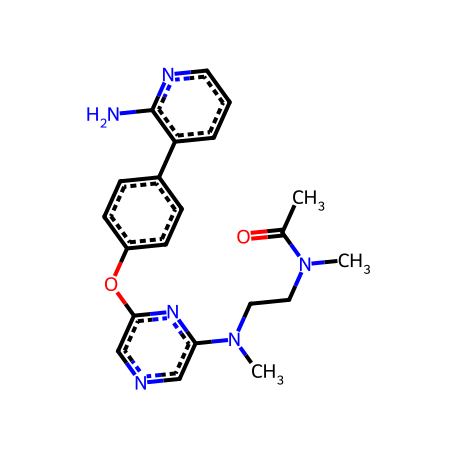 CC(=O)N(C)CCN(C)c1cncc(Oc2ccc(-c3cccnc3N)cc2)n1